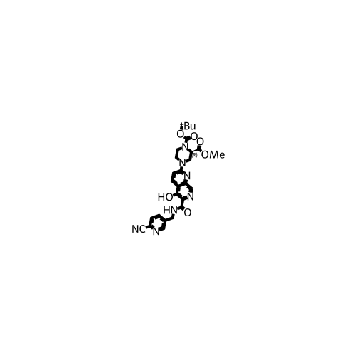 COC(=O)[C@H]1CN(c2ccc3c(O)c(C(=O)NCc4ccc(C#N)nc4)ncc3n2)CCN1C(=O)OC(C)(C)C